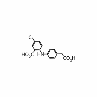 O=C(O)Cc1ccc(Nc2ccc(Cl)cc2C(=O)O)cc1